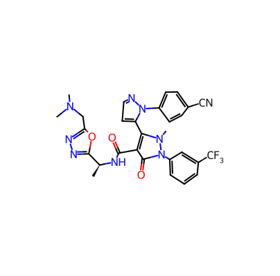 C[C@H](NC(=O)c1c(-c2ccnn2-c2ccc(C#N)cc2)n(C)n(-c2cccc(C(F)(F)F)c2)c1=O)c1nnc(CN(C)C)o1